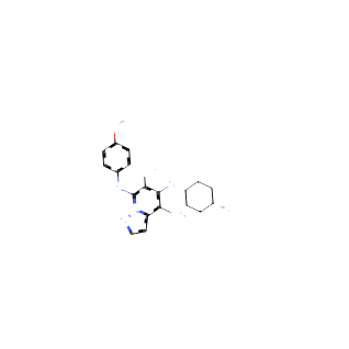 CCCc1c(N[C@H]2CC[C@H](N)CC2)c(C#N)c2ccnn2c1Nc1ccc(OCC)cc1